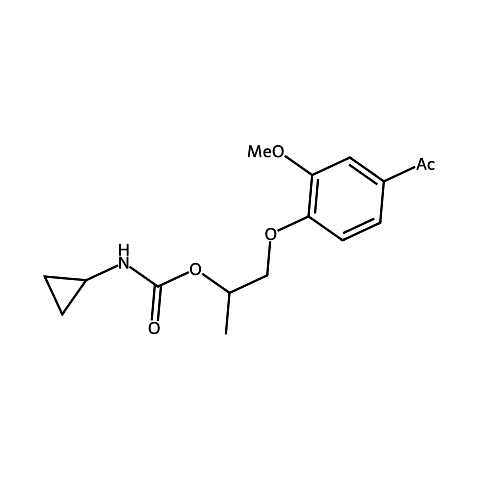 COc1cc(C(C)=O)ccc1OCC(C)OC(=O)NC1CC1